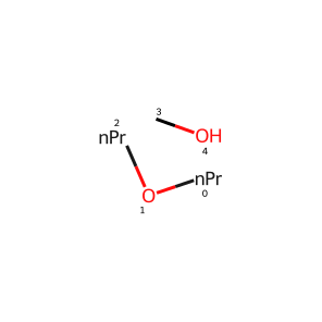 CCCOCCC.CO